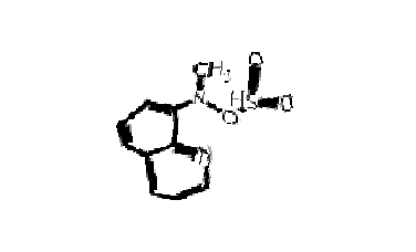 CN(O[SH](=O)=O)c1cccc2cccnc12